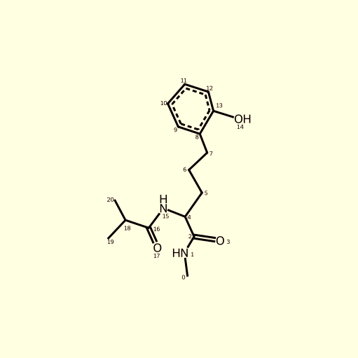 CNC(=O)C(CCCc1ccccc1O)NC(=O)C(C)C